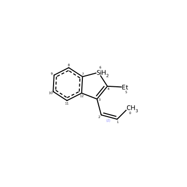 C/C=C\C1=C(CC)[SiH2]c2ccccc21